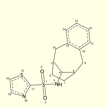 O=S(=O)(NC1C2CCC1Cc1ccccc1C2)c1nccs1